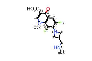 CCNCC1CN(c2c(F)cc3c(=O)c(C(=O)O)cn(CC)c3c2F)C1